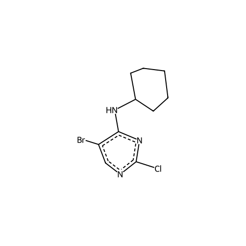 Clc1ncc(Br)c(NC2CCCCC2)n1